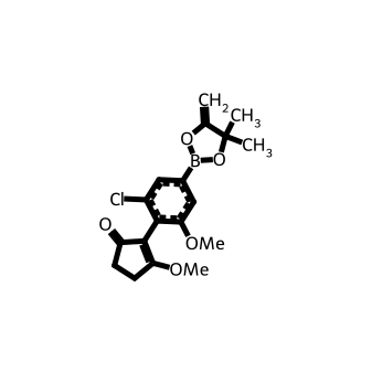 C=C1OB(c2cc(Cl)c(C3=C(OC)CCC3=O)c(OC)c2)OC1(C)C